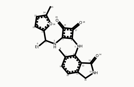 CCC(Nc1c(Nc2c(C)ccc3c2C(=O)NC3)c(=O)c1=O)c1ccc(C)o1